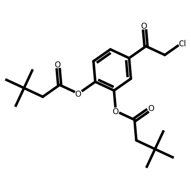 CC(C)(C)CC(=O)Oc1ccc(C(=O)CCl)cc1OC(=O)CC(C)(C)C